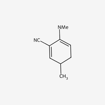 CNC1=CCC(C)C=C1C#N